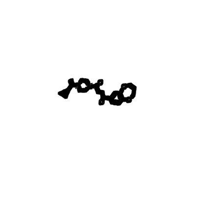 C=C(C1CC1)N1CCN(C(=O)CCC(=O)c2ccc3c(c2)OCCCO3)CC1